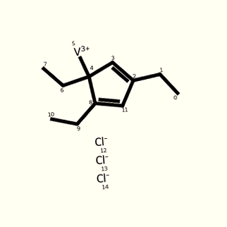 CCC1=C[C]([V+3])(CC)C(CC)=C1.[Cl-].[Cl-].[Cl-]